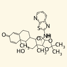 CC1(C)O[C@@H]2CC3C4CCC5=CC(=O)C=CC5(C)C4[C@@H](O)CC3(C)[C@]2(C(=O)Nc2nc3cccnc3s2)O1